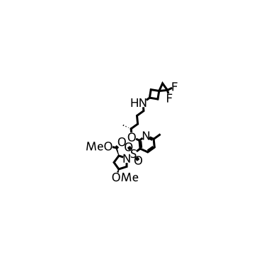 COC(=O)[C@@H]1C[C@H](OC)CN1S(=O)(=O)c1ccc(C)nc1O[C@H](C)CCCNC1CC2(C1)CC2(F)F